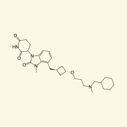 CN(CCCO[C@H]1C[C@H](Cc2cccc3c2n(C)c(=O)n3C2CCC(=O)NC2=O)C1)CC1CCCCC1